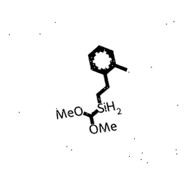 COC(OC)[SiH2]CCc1ccccc1C